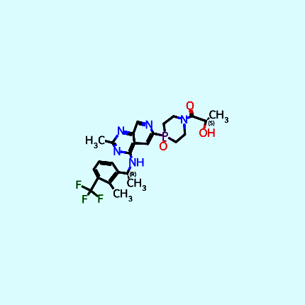 Cc1nc(N[C@H](C)c2cccc(C(F)(F)F)c2C)c2cc(P3(=O)CCN(C(=O)[C@H](C)O)CC3)ncc2n1